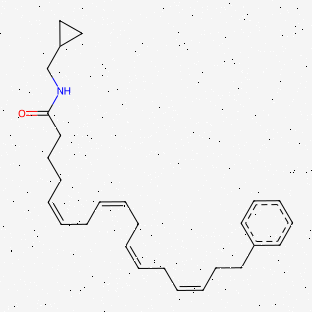 O=C(CCC/C=C\C/C=C\C/C=C\C/C=C\CCc1ccccc1)NCC1CC1